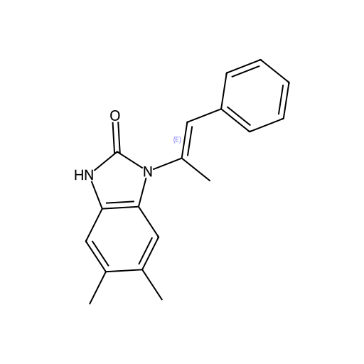 C/C(=C\c1ccccc1)n1c(=O)[nH]c2cc(C)c(C)cc21